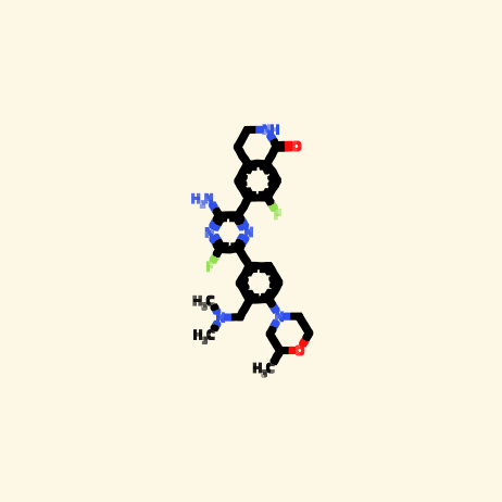 CC1CN(c2ccc(-c3nc(-c4cc5c(cc4F)C(=O)NCC5)c(N)nc3F)cc2CN(C)C)CCO1